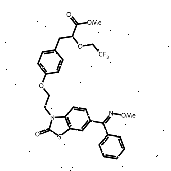 CON=C(c1ccccc1)c1ccc2c(c1)sc(=O)n2CCOc1ccc(CC(OCC(F)(F)F)C(=O)OC)cc1